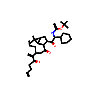 C=CCCC(=O)C(=C)C(CCC)CC(=O)C1C(C(=O)C(NC(=C)OC(C)(C)C)C2CCCCC2)CC2C1C2(C)C